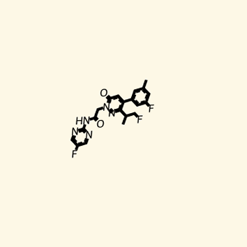 Cc1cc(F)cc(-c2cc(=O)n(CC(=O)Nc3ncc(F)cn3)nc2C(C)CF)c1